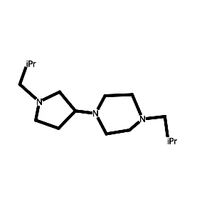 CC(C)CN1CCN(C2CCN(CC(C)C)C2)CC1